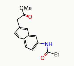 CCC(=O)Nc1ccc2ccc(CC(=O)OC)cc2c1